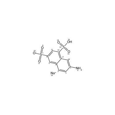 Nc1ccc2cc(S(=O)(=O)[O-])cc(S(=O)(=O)O)c2c1.[Na+]